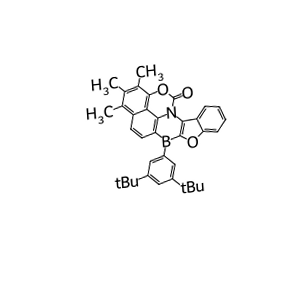 Cc1c(C)c2c3c4c(ccc3c1C)B(c1cc(C(C)(C)C)cc(C(C)(C)C)c1)c1oc3ccccc3c1N4C(=O)O2